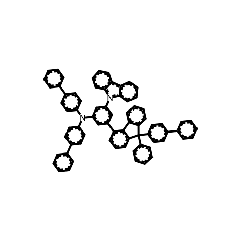 c1ccc(-c2ccc(N(c3ccc(-c4ccccc4)cc3)c3cc(-c4cccc5c4-c4ccccc4C5(c4ccccc4)c4ccc(-c5ccccc5)cc4)cc(-n4c5ccccc5c5ccccc54)c3)cc2)cc1